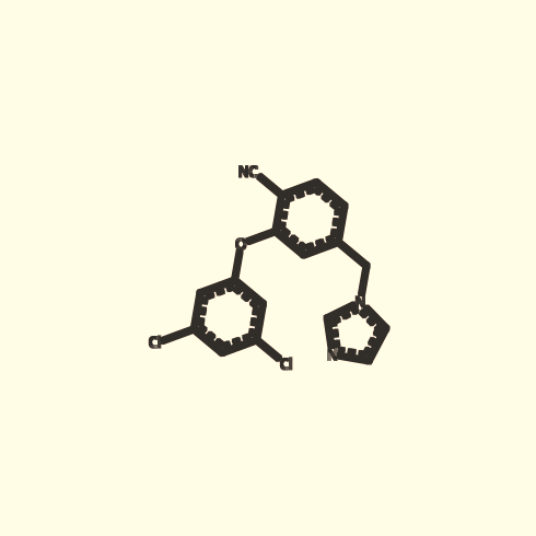 N#Cc1ccc(Cn2ccnc2)cc1Oc1cc(Cl)cc(Cl)c1